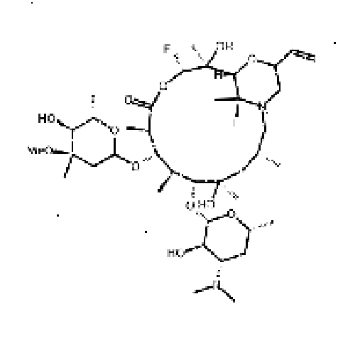 C=CC1CN2C[C@H](C)C[C@@](C)(O)[C@H](O[C@@H]3O[C@H](C)C[C@H](N(C)C)[C@H]3O)[C@@H](C)[C@H](OC3C[C@@](C)(OC)[C@@H](O)[C@H](C)O3)[C@@H](C)C(=O)O[C@H](CC)[C@@](C)(O)[C@H](O1)[C@H]2C